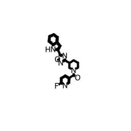 O=C(c1ccc(F)nc1)N1CCCC(c2noc(-c3cc4ccccc4[nH]3)n2)C1